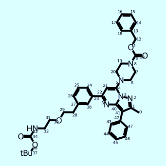 Cc1nn2c(N3CCN(C(=O)OCc4ccccc4)CC3)cc(-c3cccc(CCOCCNC(=O)OC(C)(C)C)c3)nc2c1-c1ccccc1